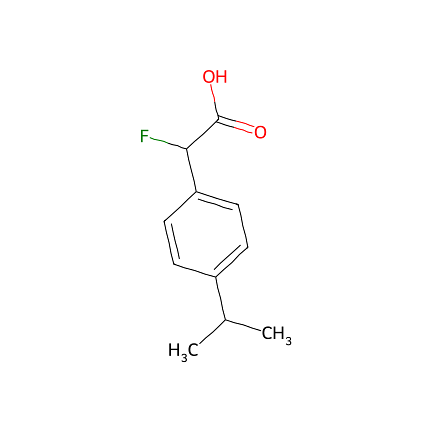 CC(C)c1ccc(C(F)C(=O)O)cc1